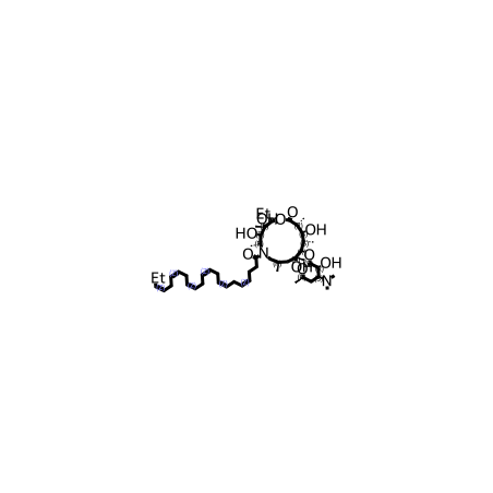 CC/C=C\C/C=C\C/C=C\C/C=C\C/C=C\C/C=C\CCC(=O)N1C[C@H](C)C[C@@](C)(O)[C@H](O[C@@H]2O[C@H](C)C[C@H](N(C)C)[C@H]2O)[C@@H](C)[C@H](O)[C@@H](C)C(=O)O[C@H](CC)[C@@](C)(O)[C@H](O)[C@H]1C